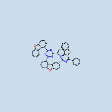 c1ccc(-c2nc(-c3cccc4oc5ccccc5c34)nc(-c3cccc4oc5ccc(-c6nc(-c7ccccc7)c7sc8ccccc8c7n6)cc5c34)n2)cc1